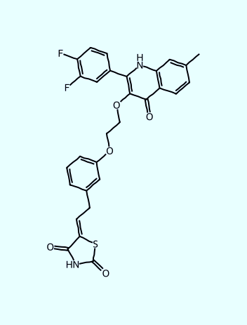 Cc1ccc2c(=O)c(OCCOc3cccc(CC=C4SC(=O)NC4=O)c3)c(-c3ccc(F)c(F)c3)[nH]c2c1